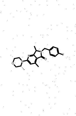 Cc1cc(N2CCOC[C@H]2C)nc2c1C(=O)N(Cc1ccc(F)cc1)C2C